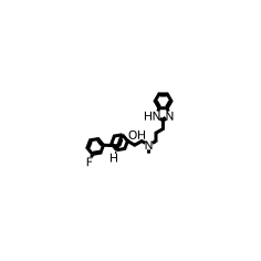 CN(CCCc1nc2ccccc2[nH]1)CC[C@]1(O)C[C@H]2CCC1C=C2c1cccc(F)c1